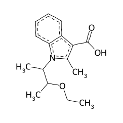 CCOC(C)C(C)n1c(C)c(C(=O)O)c2ccccc21